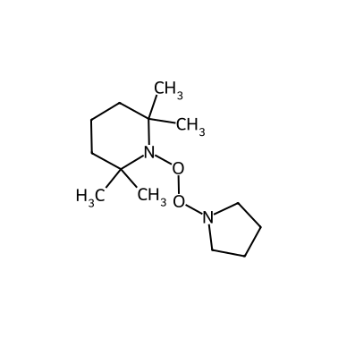 CC1(C)CCCC(C)(C)N1OON1CCCC1